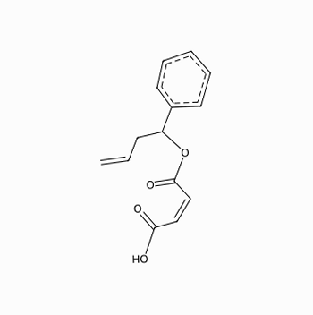 C=CCC(OC(=O)/C=C\C(=O)O)c1ccccc1